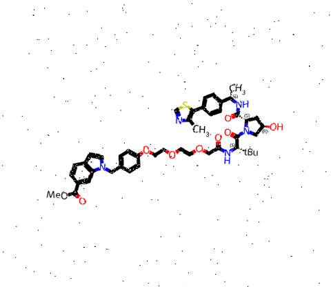 COC(=O)c1ccc2ccn(Cc3ccc(OCCOCCOCC(=O)N[C@H](C(=O)N4C[C@H](O)C[C@H]4C(=O)N[C@@H](C)c4ccc(-c5scnc5C)cc4)C(C)(C)C)cc3)c2c1